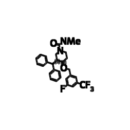 CNC(=O)N1CC[C@@H](OCc2cc(F)cc(C(F)(F)F)c2)[C@@H](C(c2ccccc2)c2ccccc2)C1